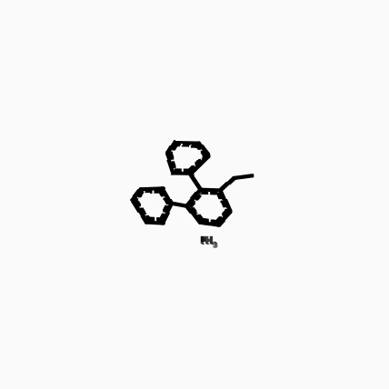 CCc1cccc(-c2ccccc2)c1-c1ccccc1.P